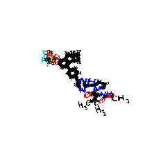 COC(=O)N[C@H](C(=O)N1CCC[C@H]1c1ncc(-c2ccc(-c3ccc(OS(=O)(=O)C(F)(F)F)c4c3C3CCC3C4)cc2)[nH]1)C(C)C